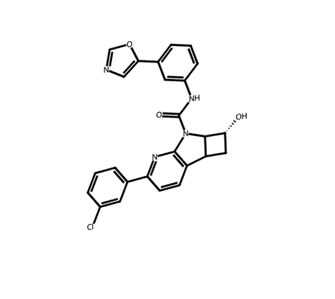 O=C(Nc1cccc(-c2cnco2)c1)N1c2nc(-c3cccc(Cl)c3)ccc2C2C[C@@H](O)C21